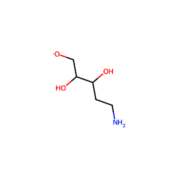 NCCC(O)C(O)C[O]